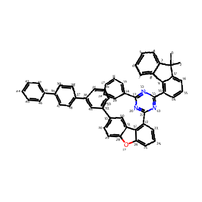 CC1(C)c2ccccc2-c2c(-c3nc(-c4ccccc4)nc(-c4cccc5oc6ccc(-c7cccc(-c8ccc(-c9ccccc9)cc8)c7)cc6c45)n3)cccc21